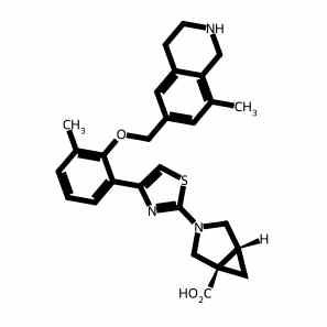 Cc1cc(COc2c(C)cccc2-c2csc(N3C[C@@H]4C[C@]4(C(=O)O)C3)n2)cc2c1CNCC2